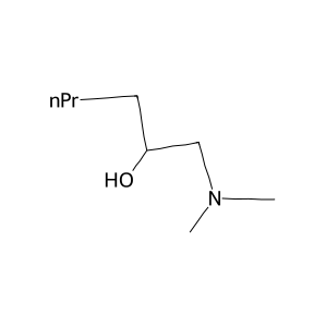 CCCCC(O)CN(C)C